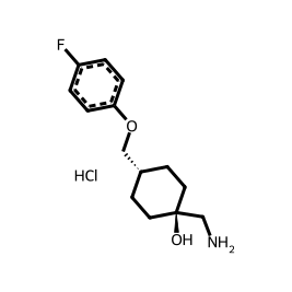 Cl.NC[C@]1(O)CC[C@H](COc2ccc(F)cc2)CC1